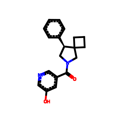 O=C(c1cncc(O)c1)N1C[C@@H](c2ccccc2)C2(CCC2)C1